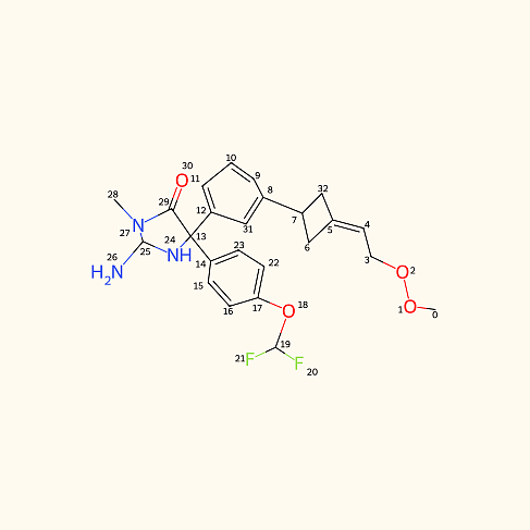 COOCC=C1CC(c2cccc(C3(c4ccc(OC(F)F)cc4)NC(N)N(C)C3=O)c2)C1